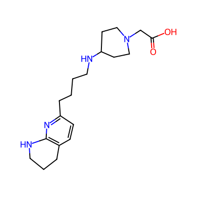 O=C(O)CN1CCC(NCCCCc2ccc3c(n2)NCCC3)CC1